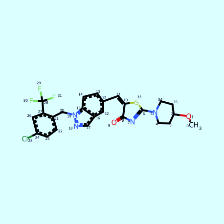 COC1CCN(C2=NC(=O)C(=Cc3ccc4c(cnn4Cc4ccc(Cl)cc4C(F)(F)F)c3)S2)CC1